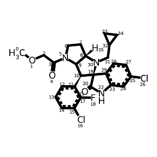 COCC(=O)N1CC[C@H]2C1[C@H](c1cccc(Cl)c1F)[C@]1(C(=O)Nc3cc(Cl)ccc31)N2CC1CC1